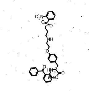 COC(=O)[C@H](Cc1ccc(OCCNCCCS(=O)(=O)c2ccccc2[N+](=O)[O-])cc1)Nc1ccccc1C(=O)c1ccccc1